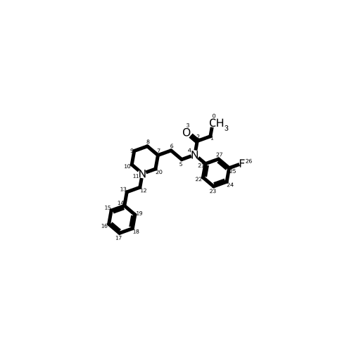 CCC(=O)N(CCC1CCCN(CCc2ccccc2)C1)c1cccc(F)c1